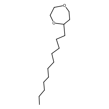 CCCCCCCCCCC[C]1CCOCCO1